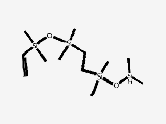 C=C[Si](C)(C)O[Si](C)(C)CC[Si](C)(C)O[SiH](C)C